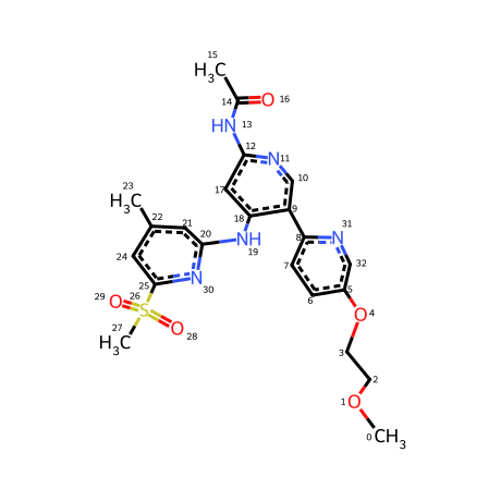 COCCOc1ccc(-c2cnc(NC(C)=O)cc2Nc2cc(C)cc(S(C)(=O)=O)n2)nc1